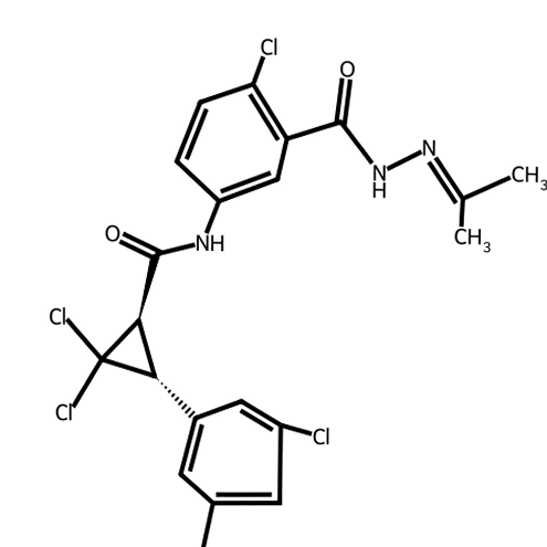 CC(C)=NNC(=O)c1cc(NC(=O)[C@H]2[C@H](c3cc(Cl)cc(Cl)c3)C2(Cl)Cl)ccc1Cl